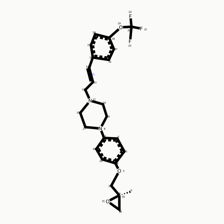 C[C@]1(COc2ccc(N3CCN(C/C=C/c4ccc(OC(F)(F)F)cc4)CC3)cc2)CO1